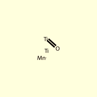 [Mn].[O]=[Ti].[Ti]